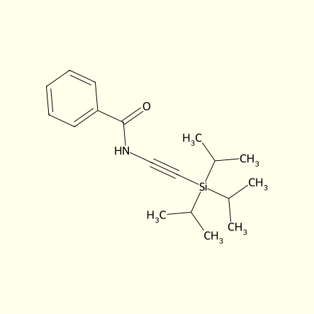 CC(C)[Si](C#CNC(=O)c1ccccc1)(C(C)C)C(C)C